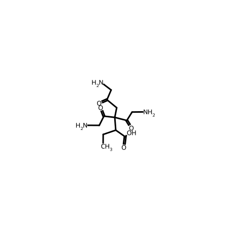 CCC(C(=O)O)C(CC(=O)CN)(C(=O)CN)C(=O)CN